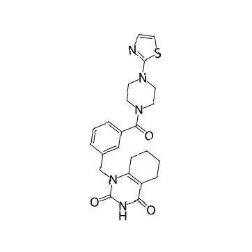 O=C(c1cccc(Cn2c3c(c(=O)[nH]c2=O)CCCC3)c1)N1CCN(c2nccs2)CC1